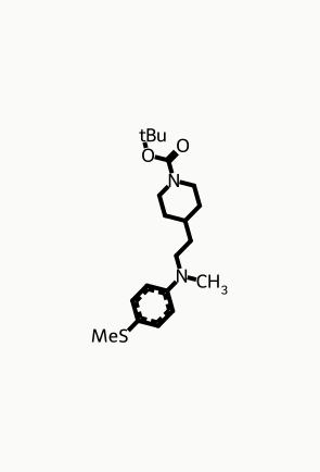 CSc1ccc(N(C)CCC2CCN(C(=O)OC(C)(C)C)CC2)cc1